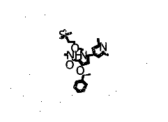 CNC(=O)c1c(O[C@@H](C)c2ccccc2)cc(-c2cc(C)nc(C)c2)n1COCC[Si](C)(C)C